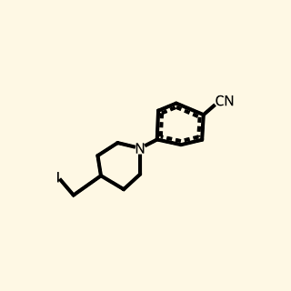 N#Cc1ccc(N2CCC(CI)CC2)cc1